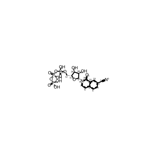 N#Cc1ccc2ccn([C@@H]3O[C@H](COP(=O)(O)OP(=O)(O)OP(=O)(O)O)[C@@H](O)[C@H]3O)c(=O)c2c1